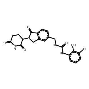 O=C1CCC(N2Cc3cc(CNC(=O)Nc4cccc(Cl)c4O)ccc3C2=O)C(=O)N1